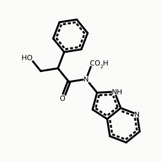 O=C(O)N(C(=O)C(CO)c1ccccc1)c1cc2cccnc2[nH]1